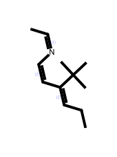 C\C=N/C=C\C(=C\CC)C(C)(C)C